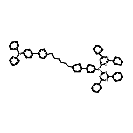 c1ccc(-c2nc(-c3ccccc3)nc(N(c3ccc(-c4ccc(CCCCCCc5ccc(-c6ccc(N(c7ccccc7)c7ccccc7)cc6)cc5)cc4)cc3)c3nc(-c4ccccc4)nc(-c4ccccc4)n3)n2)cc1